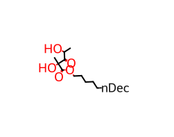 CCCCCCCCCCCCCCCOC(=O)C(C)(O)C(=O)C(C)O